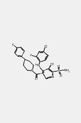 NS(=O)(=O)c1ncc(C(=O)N2CCC(c3ccc(F)cc3)CC2)c(Nc2ccc(Cl)cc2F)c1Cl